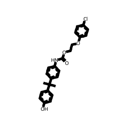 CC(C)(c1ccc(O)cc1)c1ccc(NC(=O)OCCOc2ccc(Cl)cc2)cc1